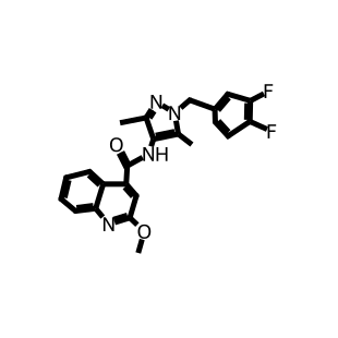 COc1cc(C(=O)Nc2c(C)nn(Cc3ccc(F)c(F)c3)c2C)c2ccccc2n1